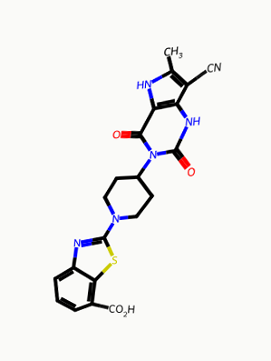 Cc1[nH]c2c(=O)n(C3CCN(c4nc5cccc(C(=O)O)c5s4)CC3)c(=O)[nH]c2c1C#N